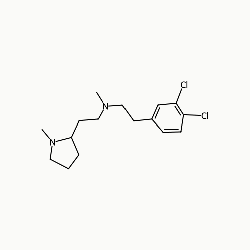 CN(CCc1ccc(Cl)c(Cl)c1)CCC1CCCN1C